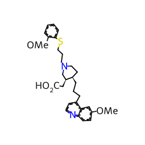 COc1ccc2nccc(CCC[C@@H]3CCN(CCCSc4ccccc4OC)C[C@@H]3CC(=O)O)c2c1